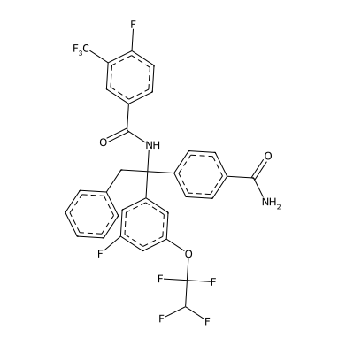 NC(=O)c1ccc(C(Cc2ccccc2)(NC(=O)c2ccc(F)c(C(F)(F)F)c2)c2cc(F)cc(OC(F)(F)C(F)F)c2)cc1